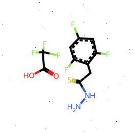 NNC(=S)Cc1c(F)cc(F)cc1F.O=C(O)C(F)(F)F